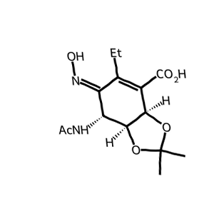 CCC1=C(C(=O)O)[C@H]2OC(C)(C)O[C@H]2[C@H](NC(C)=O)C1=NO